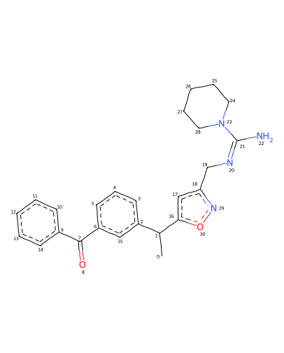 CC(c1cccc(C(=O)c2ccccc2)c1)c1cc(CN=C(N)N2CCCCC2)no1